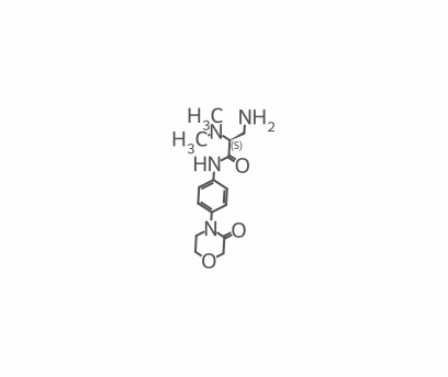 CN(C)[C@@H](CN)C(=O)Nc1ccc(N2CCOCC2=O)cc1